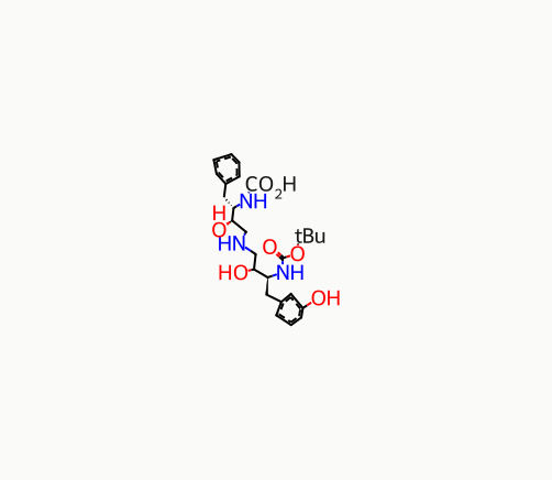 CC(C)(C)OC(=O)N[C@@H](Cc1cccc(O)c1)C(O)CNC[C@@H](O)[C@H](Cc1ccccc1)NC(=O)O